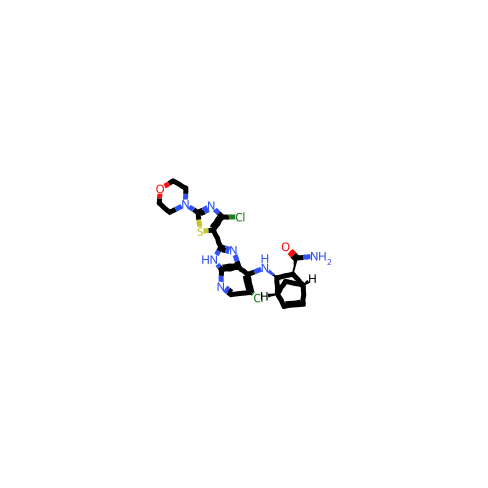 NC(=O)[C@@H]1[C@H](Nc2c(Cl)cnc3[nH]c(-c4sc(N5CCOCC5)nc4Cl)nc23)[C@H]2C=C[C@@H]1C2